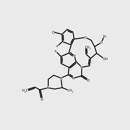 C=CC(=O)N1CCN(c2nc(=O)n3c4nc(c(F)cc24)-c2c(ccc(Cl)c2F)OCC(OCC)C(O)/C(C=C)=C/3)C(C)C1